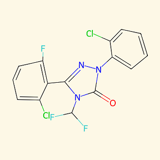 O=c1n(-c2ccccc2Cl)nc(-c2c(F)cccc2Cl)n1C(F)F